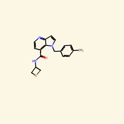 Cc1ccc(Cn2ccc3nccc(C(=O)NC4CSC4)c32)cc1